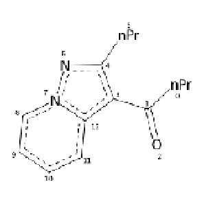 CCCC(=O)c1c(CCC)nn2ccccc12